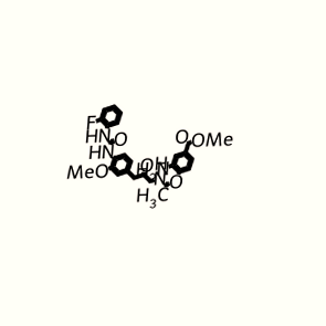 COC(=O)c1ccc(OC(C)NCC(=O)Cc2ccc(NC(=O)Nc3ccccc3F)c(OC)c2)c(N)c1